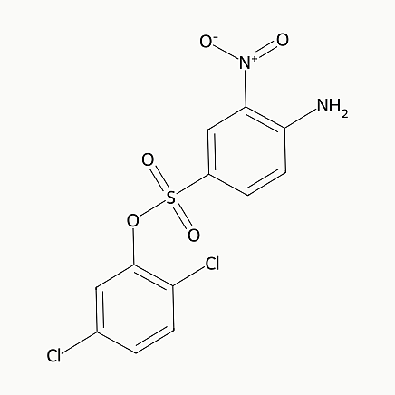 Nc1ccc(S(=O)(=O)Oc2cc(Cl)ccc2Cl)cc1[N+](=O)[O-]